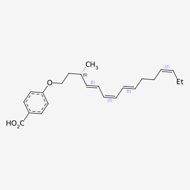 CC/C=C\CC/C=C/C=C\C=C\[C@@H](C)CCOc1ccc(C(=O)O)cc1